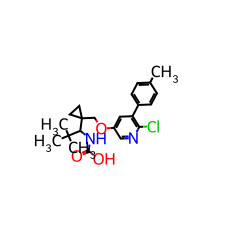 Cc1ccc(-c2cc(OCC3(C(NC(=O)O)C(C)(C)C)CC3)cnc2Cl)cc1